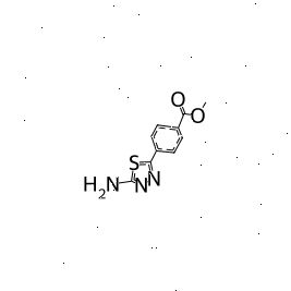 COC(=O)c1ccc(-c2nnc(N)s2)cc1